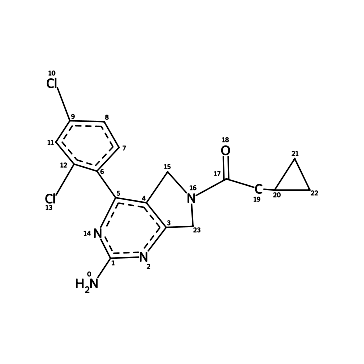 Nc1nc2c(c(-c3ccc(Cl)cc3Cl)n1)CN(C(=O)CC1CC1)C2